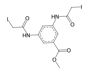 COC(=O)c1cc(NC(=O)CI)cc(NC(=O)CI)c1